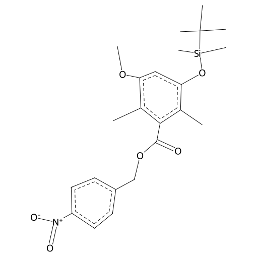 COc1cc(O[Si](C)(C)C(C)(C)C)c(C)c(C(=O)OCc2ccc([N+](=O)[O-])cc2)c1C